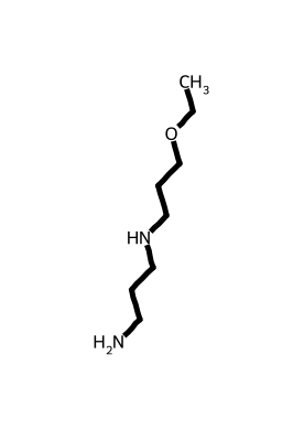 CCOCCCNCCCN